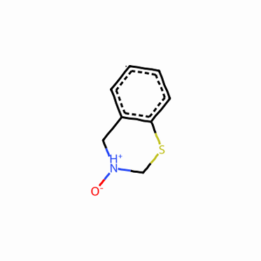 [O-][NH+]1CSc2cc[c]cc2C1